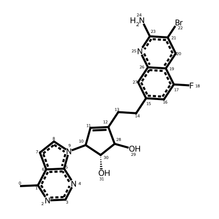 Cc1ncnc2c1ccn2C1C=C(CCc2cc(F)c3cc(Br)c(N)nc3c2)C(O)[C@@H]1O